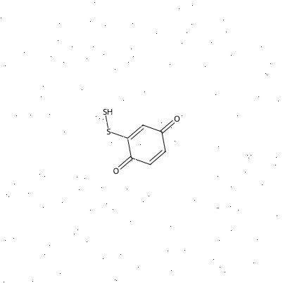 O=C1C=CC(=O)C(SS)=C1